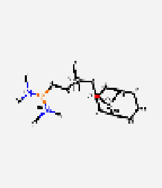 CN(C)P(CC[SiH](C)CCB1C2CCCC1CCC2)N(C)C